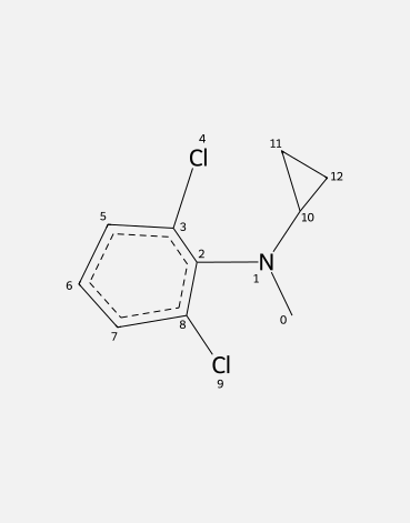 CN(c1c(Cl)cccc1Cl)C1CC1